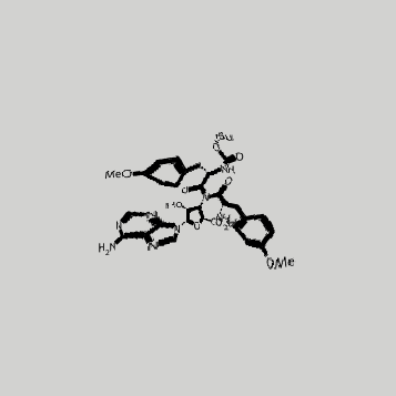 COc1ccc(C[C@H](NC(=O)OC(C)(C)C)C(=O)N(C(=O)[C@@H](N)Cc2ccc(OC)cc2)[C@H]2[C@@H](O)[C@@H](n3cnc4c(N)ncnc43)O[C@@H]2C(=O)O)cc1